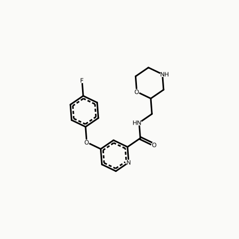 O=C(NCC1CNCCO1)c1cc(Oc2ccc(F)cc2)ccn1